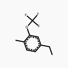 CCc1ccc(C)c(OC(F)(F)F)c1